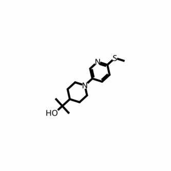 CSc1ccc(N2CCC(C(C)(C)O)CC2)cn1